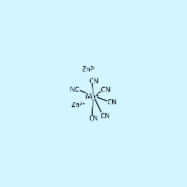 N#[C][Mn-4]([C]#N)([C]#N)([C]#N)([C]#N)[C]#N.[Zn+2].[Zn+2]